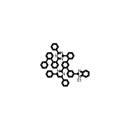 CCn1c(-c2cccc(-c3cc(-c4ccccc4-c4nc(-c5ccccc5)nc(-c5ccccc5-c5ccccc5-c5ccccc5)n4)ccc3-c3nc(-c4ccccc4)cc(-c4ccccc4)n3)c2)nc2ccccc21